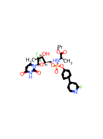 CC(C)OC(=O)[C@H](C)NP(=O)(OC[C@H]1O[C@@H](n2ccc(=O)[nH]c2=O)[C@](C)(F)[C@@H]1O)Oc1ccc(-c2ccnc(F)c2)cc1